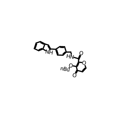 CCCCOc1c(C(=O)NCc2ccc(-c3cc4ccccc4[nH]3)cc2)occc1=O